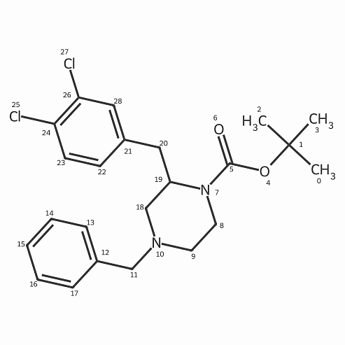 CC(C)(C)OC(=O)N1CCN(Cc2ccccc2)CC1Cc1ccc(Cl)c(Cl)c1